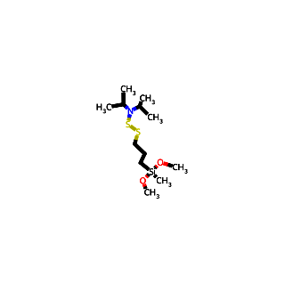 CO[Si](C)(CCCSSN(C(C)C)C(C)C)OC